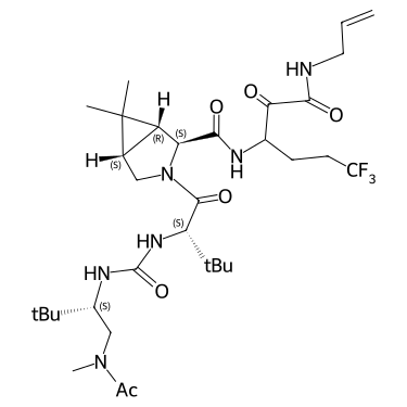 C=CCNC(=O)C(=O)C(CCC(F)(F)F)NC(=O)[C@@H]1[C@@H]2[C@H](CN1C(=O)[C@@H](NC(=O)N[C@H](CN(C)C(C)=O)C(C)(C)C)C(C)(C)C)C2(C)C